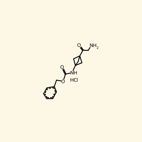 Cl.NCC(=O)C12CC(NC(=O)OCc3ccccc3)(C1)C2